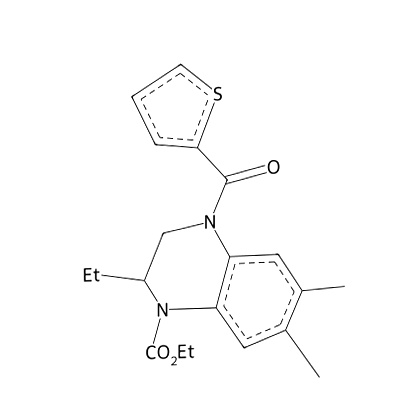 CCOC(=O)N1c2cc(C)c(C)cc2N(C(=O)c2cccs2)CC1CC